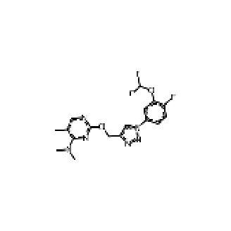 Cc1cnc(OCc2cn(-c3ccc(F)c(OC(F)F)c3)nn2)nc1N(C)C